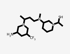 CC(S)N1CCCC(N(C)CCC(C)N2CC(N)CC(C(F)(F)F)C2)C1